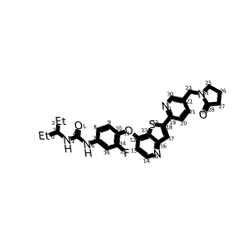 CCC(CC)NC(=O)Nc1ccc(Oc2ccnc3cc(-c4ccc(CN5CCCC5=O)cn4)sc23)c(F)c1